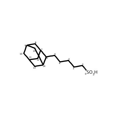 O=S(=O)(O)CCCCCC1C2CC3CC(C2)CC1C3